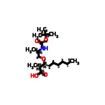 CCCCCC[C@@H](OC[C@@H](C)NC(=O)OC(C)(C)C)[C@@H](C)C(=O)O